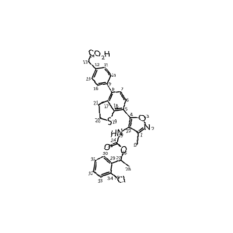 Cc1noc(-c2ccc(-c3ccc(CC(=O)O)cc3)c3c2SCC3)c1NC(=O)OC(C)c1ccccc1Cl